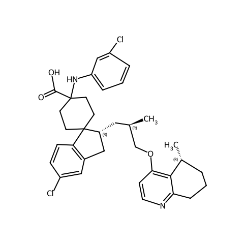 C[C@@H](COc1ccnc2c1[C@H](C)CCC2)C[C@@H]1Cc2cc(Cl)ccc2C12CCC(Nc1cccc(Cl)c1)(C(=O)O)CC2